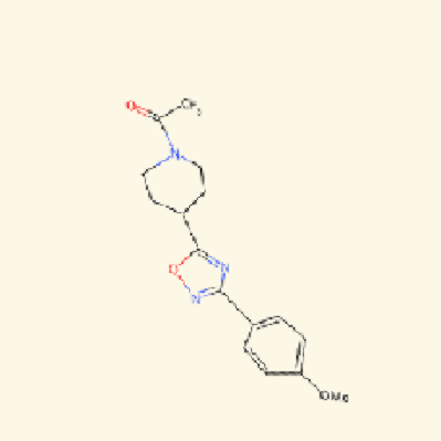 COc1ccc(-c2noc(C3CCN(C(=O)C(F)(F)F)CC3)n2)cc1